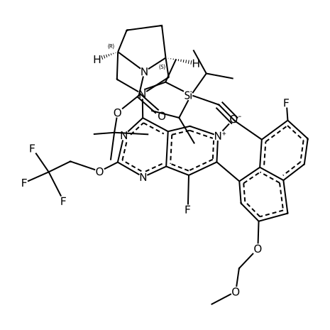 COCOc1cc(-c2c(F)c3nc(OCC(F)(F)F)nc(N4C[C@H]5CC[C@@H](C4)N5C(=O)OC(C)(C)C)c3c[n+]2[O-])c2c(C#C[Si](C(C)C)(C(C)C)C(C)C)c(F)ccc2c1